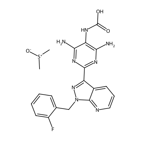 C[S+](C)[O-].Nc1nc(-c2nn(Cc3ccccc3F)c3ncccc23)nc(N)c1NC(=O)O